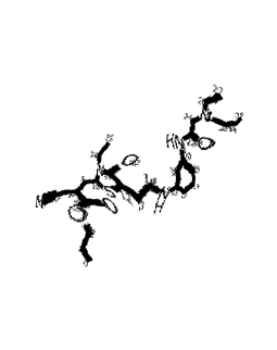 C=CCOC(=O)C(C#N)CC1SC(CCNc2cccc(NC(=O)CN(CC)CC)c2)C(=O)N1CC